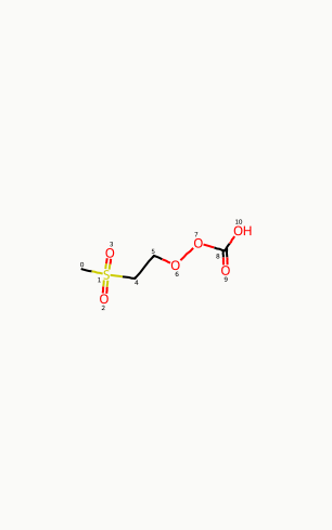 CS(=O)(=O)CCOOC(=O)O